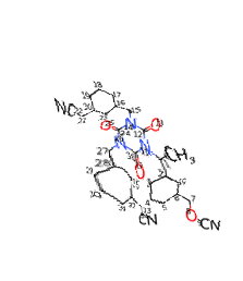 CC(C1CCCC(COC#N)C1)n1c(=O)n(CC2CCCC(CC#N)C2)c(=O)n(CC2CCCC(CC#N)C2)c1=O